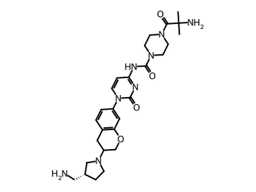 CC(C)(N)C(=O)N1CCN(C(=O)Nc2ccn(-c3ccc4c(c3)OCC(N3CC[C@H](CN)C3)C4)c(=O)n2)CC1